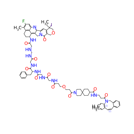 C=CC1=C(\C=C)N(C(=O)CCNC(=O)C2CCC3(CC2)CCN(C(=O)CCOCCC(=O)NCC(=O)NCC(=O)NC(Cc2ccccc2)C(=O)NCC(=O)NCNCC(=O)NC2CCc4c(C)c(F)cc5nc6c(c2c45)Cn2c-6cc4c(c2=O)COCC4(I)CC)CC3)Cc2ccccc2/C=C\1